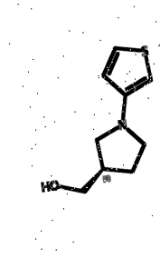 OC[C@@H]1CCN(c2ccsc2)C1